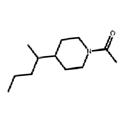 CCCC(C)C1CCN(C(C)=O)CC1